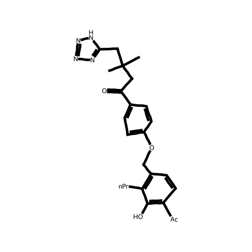 CCCc1c(COc2ccc(C(=O)CC(C)(C)Cc3nnn[nH]3)cc2)ccc(C(C)=O)c1O